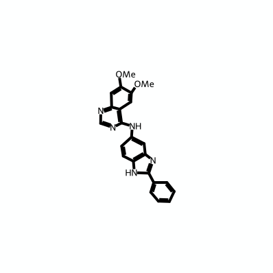 COc1cc2ncnc(Nc3ccc4[nH]c(-c5ccccc5)nc4c3)c2cc1OC